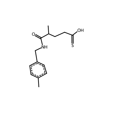 Cc1ccc(CNC(=O)C(C)CCC(O)=S)cc1